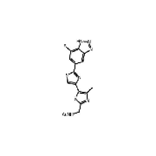 CC(=O)NCc1nc(C)c(-c2csc(-c3cc(F)c4[nH]nnc4c3)n2)s1